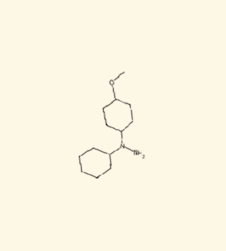 COC1CCC(N(N)C2CCCCC2)CC1